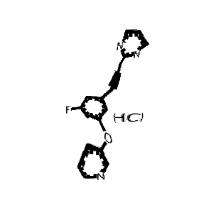 Cl.Fc1cc(C#Cc2ncccn2)cc(Oc2cccnc2)c1